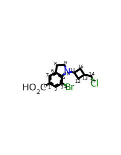 O=C(O)c1cc(Br)c2c(c1)CCN2C1CC(CCl)C1